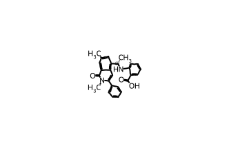 Cc1cc([C@H](C)Nc2ccccc2C(=O)O)c2cc(-c3ccccc3)n(C)c(=O)c2c1